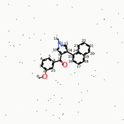 COc1cccc(C(=O)c2cn(C)cc2-c2cccc3ccccc23)c1